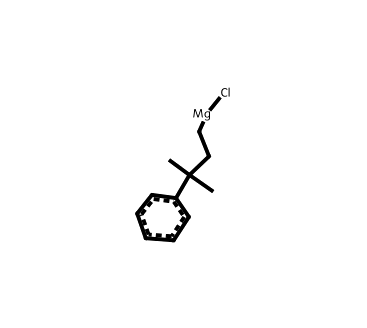 CC(C)(C[CH2][Mg][Cl])c1ccccc1